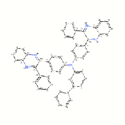 c1ccc(-c2cccc(N(c3ccc(-c4nc5ccccc5nc4-c4ccccc4)cc3)c3ccc(-c4nc5ccccc5nc4-c4ccccc4)cc3)c2)cc1